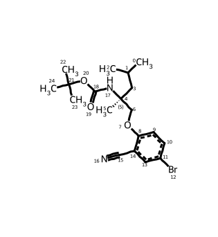 CC(C)C[C@@](C)(COc1ccc(Br)cc1C#N)NC(=O)OC(C)(C)C